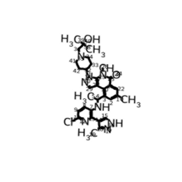 Cc1cc(C(C)Nc2ccc(Cl)nc2-c2c[nH]nc2C)c2c(c1)c(=O)n(C)c1c2cnn1C1CCN(CC(C)(C)O)CC1